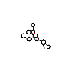 CC1(C)c2ccccc2-c2ccc(-c3ccc(N(c4ccc(-c5ccccc5)cc4)c4cccc(-c5ccccc5)c4-c4ccccc4-c4ccccc4)cc3)cc21